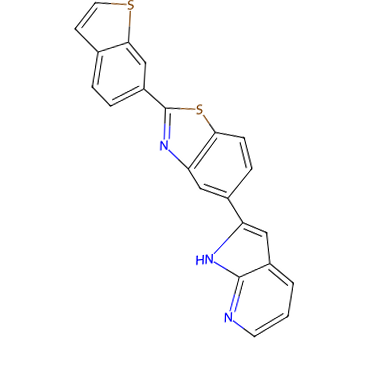 c1cnc2[nH]c(-c3ccc4sc(-c5ccc6ccsc6c5)nc4c3)cc2c1